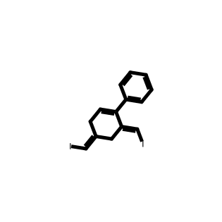 IC=C1CC=C(c2ccccc2)C(=CI)C1